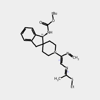 C=N/C(=C\N=C(/C)SCC)N1CCC2(CC1)Cc1ccccc1[C@H]2NC(=O)OC(C)(C)C